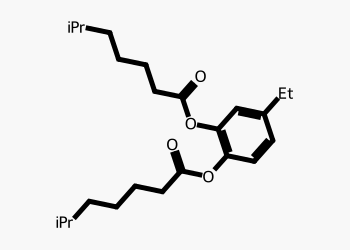 CCc1ccc(OC(=O)CCCCC(C)C)c(OC(=O)CCCCC(C)C)c1